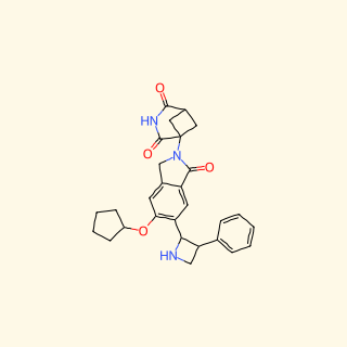 O=C1NC(=O)C2(N3Cc4cc(OC5CCCC5)c(C5NCC5c5ccccc5)cc4C3=O)CC1C2